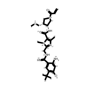 C=CC(=O)N1C[C@@H](COC)[C@@H](NC(=O)c2c(C)nc(CNC(=N)c3cc(C(C)(C)C)c(Cl)cc3N)n2C)C1